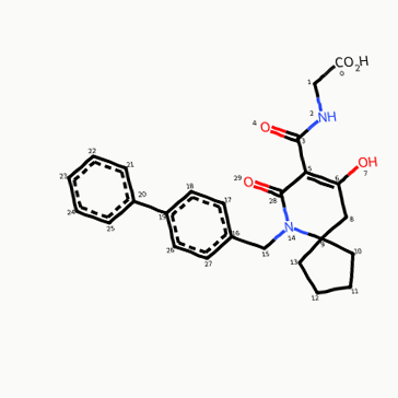 O=C(O)CNC(=O)C1=C(O)CC2(CCCC2)N(Cc2ccc(-c3ccccc3)cc2)C1=O